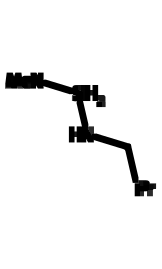 CN[SiH2]NCC(C)C